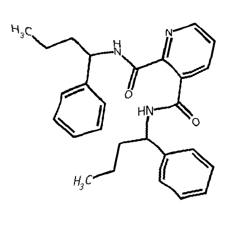 CCCC(NC(=O)c1cccnc1C(=O)NC(CCC)c1ccccc1)c1ccccc1